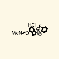 CNCCOc1cccc2c1ccn2S(=O)(=O)c1ccccc1F.Cl